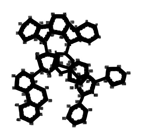 C1=CC(n2c3ccccc3c3ccc4c5ccccc5n(-c5nc(-c6ccccc6)nc(-c6cccc7c6ccc6ccccc67)n5)c4c32)CC(c2nc(-c3ccccc3)nc(-c3ccccc3)n2)C1